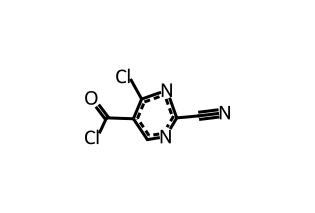 N#Cc1ncc(C(=O)Cl)c(Cl)n1